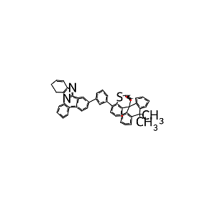 CC1(C)c2ccccc2C2(c3ccccc3Sc3c(-c4cccc(-c5ccc6c7ccccc7n7c8c(nc7c6c5)C=CCC8)c4)cccc32)c2ccccc21